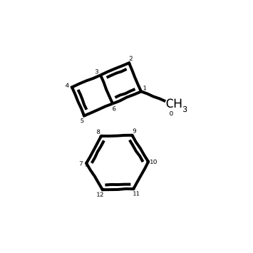 Cc1cc2ccc1-2.[c]1ccccc1